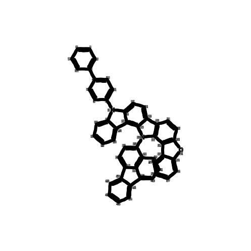 c1ccc(-c2ccc(-n3c4ccccc4c4c3ccc3c5ccc6oc7ccccc7c6c5n(-c5ccc6c7c(cccc57)-c5ccccc5-6)c34)cc2)cc1